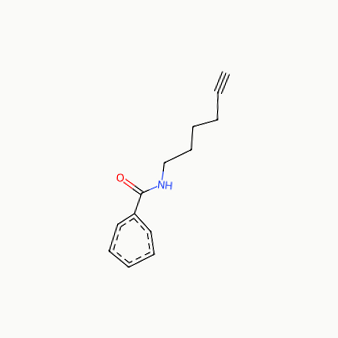 C#CCCCCNC(=O)c1ccccc1